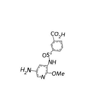 COc1ncc(N)cc1N[S+]([O-])c1cccc(C(=O)O)c1